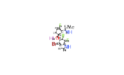 CSC(=N)c1cc(Oc2c(F)c(F)c3[nH]ccc3c2Br)ccc1F.I